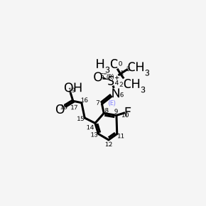 CC(C)(C)[S@+]([O-])/N=C/c1c(F)cccc1CCC(=O)O